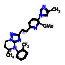 COc1nc(/C=C/c2nc3n(n2)CC[C@H](C)N3c2ccccc2C(F)(F)F)ccc1-n1cnc(C)c1